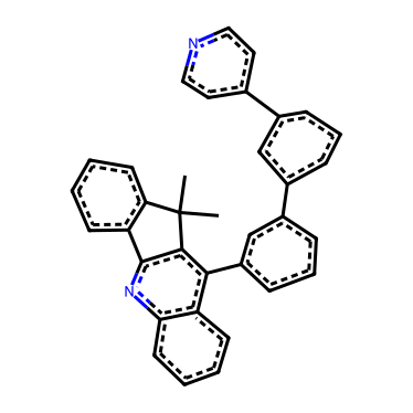 CC1(C)c2ccccc2-c2nc3ccccc3c(-c3cccc(-c4cccc(-c5ccncc5)c4)c3)c21